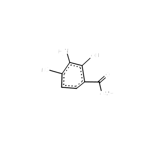 COC(=O)c1ccc(S)c(N)c1O